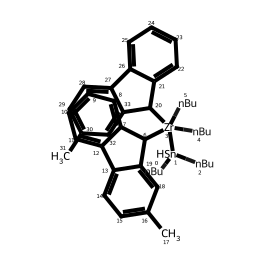 CCC[CH2][SnH]([CH2]CCC)[Zr]([CH2]CCC)([CH2]CCC)([CH]1c2ccccc2-c2ccc(C)cc21)[CH]1c2ccccc2-c2ccc(C)cc21